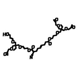 CCC(COCCCO)(COCCCOC(=O)C(C#N)CCC=CCCC(=O)OCCCOCC(CC)(COCC1CO1)COCC1CO1)COCC1CO1